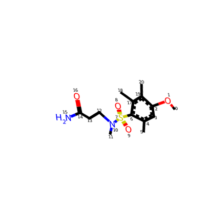 COc1cc(C)c(S(=O)(=O)N(C)CCC(N)=O)c(C)c1C